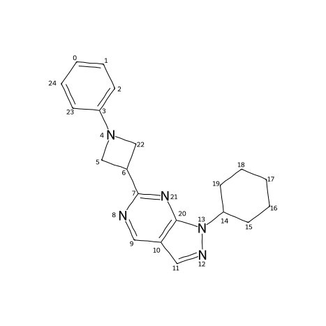 c1ccc(N2CC(c3ncc4cnn(C5CCCCC5)c4n3)C2)cc1